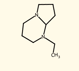 CCN1CCCN2CCCC12